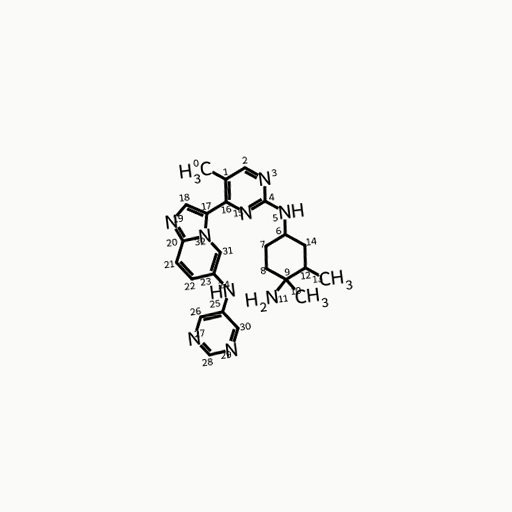 Cc1cnc(NC2CCC(C)(N)C(C)C2)nc1-c1cnc2ccc(Nc3cncnc3)cn12